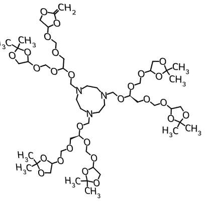 C=C1OCC(OCOCC(OCOC2COC(C)(C)O2)OCN2CCN(CO[C@H](COCOC3COC(C)(C)O3)OCOC3COC(C)(C)O3)CCN(CO[C@H](COCOC3COC(C)(C)O3)OCOC3COC(C)(C)O3)CC2)O1